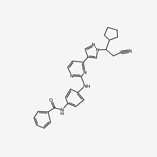 N#CCC(C1CCCC1)n1cc(-c2ccnc(Nc3ccc(NC(=O)c4ccccc4)cc3)n2)cn1